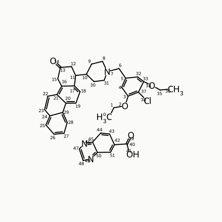 CCOc1cc(CN2CCC(C3CC(=O)Cc4c3ccc3c4ccc4ccccc43)CC2)cc(OCC)c1Cl.O=C(O)c1ccc2nccnc2c1